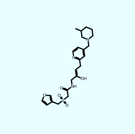 CC1CCCN(Cc2ccnc(CC=C(O)CNC(=O)CS(=O)(=O)Cc3ccoc3)c2)C1